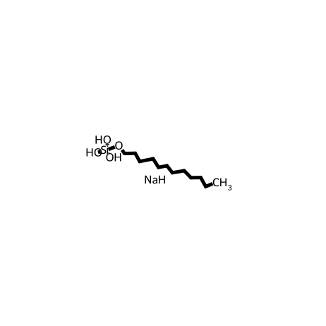 CCCCCCCCCCCCO[Si](O)(O)O.[NaH]